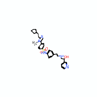 Cn1c(-c2ccc(S(=O)(=O)Nc3ccc(CCNCC(O)c4cccnc4)cc3)cc2)cnc1CCC1CCCC1